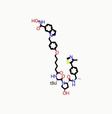 Cc1ncsc1-c1ccc([C@H](C)NC(=O)[C@@H]2C[C@@H](O)CN2C(=O)[C@@H](NC(=O)CCCCCOc2ccc(Cn3ccc4ccc(C(=O)NO)cc43)cc2)C(C)(C)C)cc1